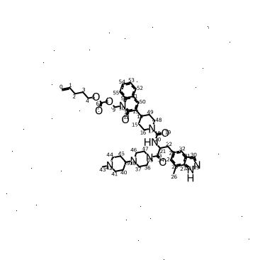 C=CCCCOC(=O)OCn1c(=O)c(C2CCN(C(=O)NC(Cc3cc(C)c4[nH]ncc4c3)C(=O)N3CCN(C4CCN(C)CC4)CC3)CC2)cc2ccccc21